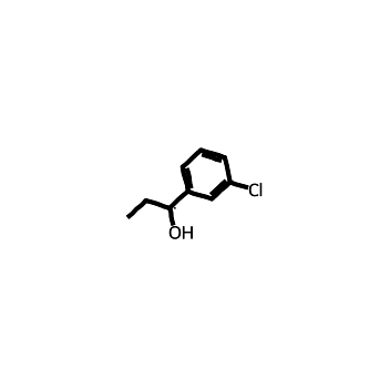 CC[C](O)c1cccc(Cl)c1